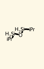 CC(C)[SiH2]O[SiH2]C(C)C